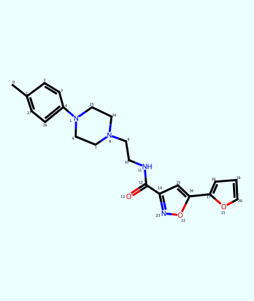 Cc1ccc(N2CCN(CCNC(=O)c3cc(-c4ccco4)on3)CC2)cc1